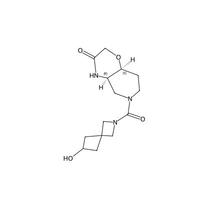 O=C1CO[C@H]2CCN(C(=O)N3CC4(CC(O)C4)C3)C[C@H]2N1